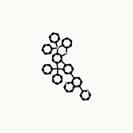 c1ccc(C2(c3ccccc3)c3cc(-c4ccc(-c5ccccn5)c5cccnc45)ccc3-c3c2ccc2c3Sc3ccccc3[Si]2(c2ccccc2)c2ccccc2)cc1